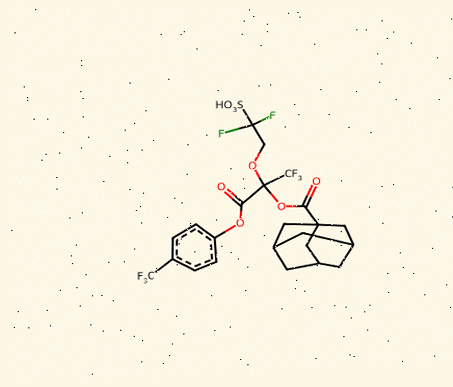 O=C(OC(OCC(F)(F)S(=O)(=O)O)(C(=O)Oc1ccc(C(F)(F)F)cc1)C(F)(F)F)C12CC3CC(CC(C3)C1)C2